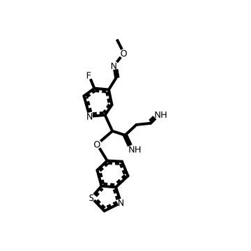 CO/N=C/c1cc(C(Oc2ccc3ncsc3c2)C(=N)CC=N)ncc1F